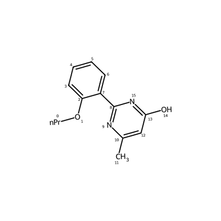 CCCOc1ccccc1-c1nc(C)cc(O)n1